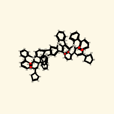 c1ccc(-c2ccccc2N(c2ccc(C3CCCC3)cc2-c2ccccc2)c2ccc3c4cc5c(cc4n4c6ccccc6c2c34)c2ccc(N(c3ccccc3-c3ccccc3)c3ccc(C4CCCC4)cc3-c3ccccc3)c3c4ccccc4n5c23)cc1